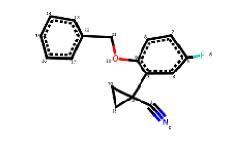 N#CC1(c2cc(F)ccc2OCc2ccccc2)CC1